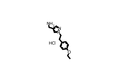 CCOc1ccc(CCn2cc(CN)cn2)cc1.Cl